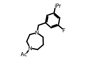 CC(=O)N1CCCN(Cc2cc(F)cc(C(C)C)c2)CC1